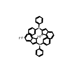 C1=C(P(c2ccccc2)c2ccccc2)[CH]([Hf+2][CH]2C(P(c3ccccc3)c3ccccc3)=Cc3ccccc32)c2ccccc21.[F-].[F-]